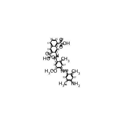 COc1cc(N=Nc2cc3c(S(=O)(=O)O)cccc3cc2S(=O)(=O)O)c(C)cc1N=Nc1cc(C)c(N)cc1C